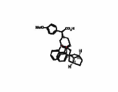 COc1ccc(C(C(=O)O)N2CCC(CCN3[C@@H]4CC[C@H]3C[C@@H](n3c(C)nc5ccccc53)C4)(c3ccccc3)CC2)cc1